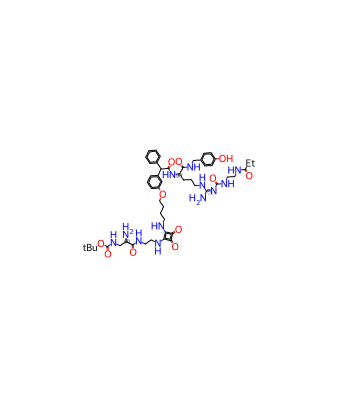 CCC(=O)NCCNC(=O)/N=C(/N)NCCC[C@@H](NC(=O)C(c1ccccc1)c1cccc(OCCCCNc2c(NCCNC(=O)[C@H](N)CNC(=O)OC(C)(C)C)c(=O)c2=O)c1)C(=O)NCc1ccc(O)cc1